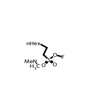 CCCCCCCCS(=O)(=O)OF.CNC